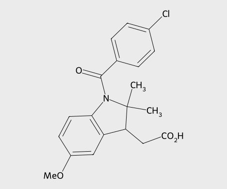 COc1ccc2c(c1)C(CC(=O)O)C(C)(C)N2C(=O)c1ccc(Cl)cc1